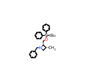 C[C@@H]1CN(Cc2ccccc2)[C@H]1CO[Si](c1ccccc1)(c1ccccc1)C(C)(C)C